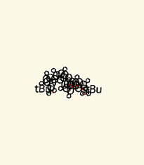 CC1OC(COC2OC(COC3OC(CO[Si](c4ccccc4)(c4ccccc4)C(C)(C)C)C(OCc4ccccc4)C3OC(=O)c3ccccc3)C(OCc3ccccc3)C2OC(=O)c2ccccc2)C(OC2OC(COC3OC(CO[Si](c4ccccc4)(c4ccccc4)C(C)(C)C)C(OCc4ccccc4)C3OC(=O)c3ccccc3)C(OCc3ccccc3)C2OC(=O)c2ccccc2)C1OC(=O)c1ccccc1